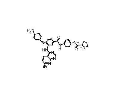 CC(C)c1ccc2c(Nc3cc(C(=O)Nc4ccc(NC(=O)C5CCCN5)cc4)ccc3Sc3ccc(N)cc3)ncnc2n1